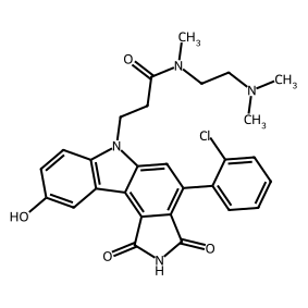 CN(C)CCN(C)C(=O)CCn1c2ccc(O)cc2c2c3c(c(-c4ccccc4Cl)cc21)C(=O)NC3=O